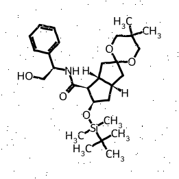 CC1(C)COC2(C[C@@H]3C[C@@H](O[Si](C)(C)C(C)(C)C)[C@@H](C(=O)N[C@@H](CO)c4ccccc4)[C@@H]3C2)OC1